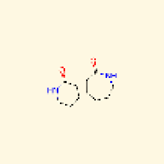 O=C1CCCCCN1.O=C1CCCCN1